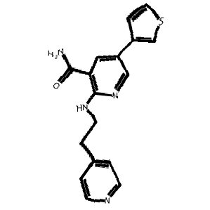 NC(=O)c1cc(-c2ccsc2)cnc1NCCc1ccncc1